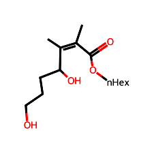 CCCCCCOC(=O)C(C)=C(C)C(O)CCCO